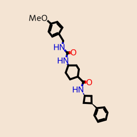 COc1ccc(CNC(=O)NC2CCC(C(=O)N[C@H]3C[C@H](c4ccccc4)C3)CC2)cc1